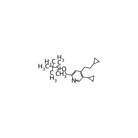 CC(C)(C)[Si](C)(C)OCc1cc(CCC2CC2)c(C2CC2)cn1